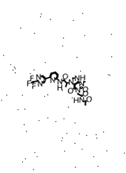 CC(=O)NC(=O)Cn1c(=O)c2c(n(C)c1=O)NCN2C(C)C(=O)Nc1cccc(-c2cnc(C(F)(F)F)nc2)n1